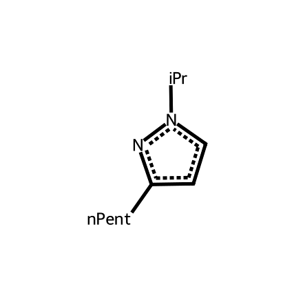 CCCCCc1ccn(C(C)C)n1